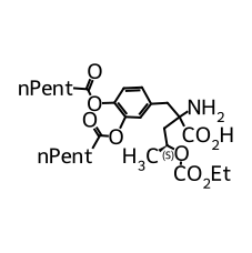 CCCCCC(=O)Oc1ccc(CC(N)(C[C@H](C)OC(=O)OCC)C(=O)O)cc1OC(=O)CCCCC